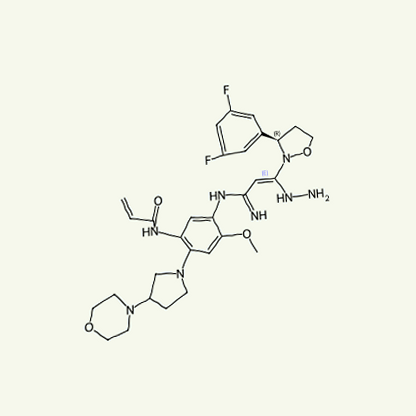 C=CC(=O)Nc1cc(NC(=N)/C=C(\NN)N2OCC[C@@H]2c2cc(F)cc(F)c2)c(OC)cc1N1CCC(N2CCOCC2)C1